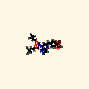 C[Si](C)(C)CCOCN(COCC[Si](C)(C)C)c1cc(Cc2ccc(S(C)(=O)=O)cc2)nc2ccnn12